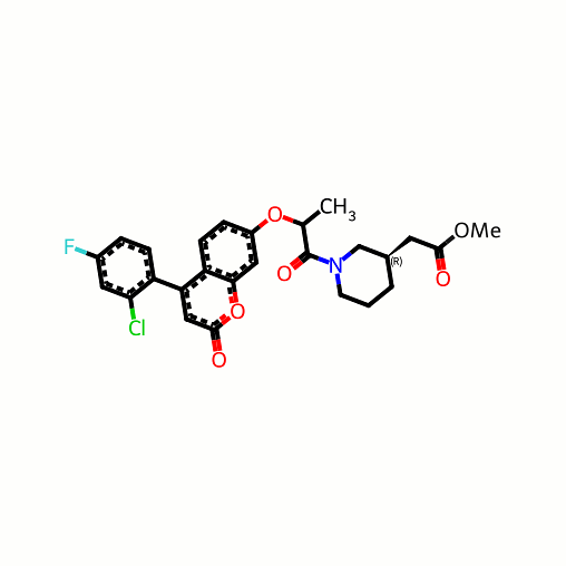 COC(=O)C[C@H]1CCCN(C(=O)C(C)Oc2ccc3c(-c4ccc(F)cc4Cl)cc(=O)oc3c2)C1